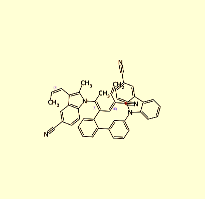 C=C/C(C#N)=C\C(=C(/C)n1c(C)c(/C=C\C)c2cc(C#N)ccc21)c1ccccc1-c1cccc(-n2c3ccccc3c3cc(C#N)ccc32)c1